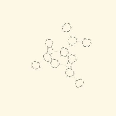 Cc1ccc(-c2ccc3c(c2)c2ccccc2n3-c2ccccc2-c2ccc(-c3nc(-c4ccccc4)cc(-c4ccccc4)n3)cc2-n2c3ccccc3c3cc(-c4ccc(C)cc4C)ccc32)c(C)c1